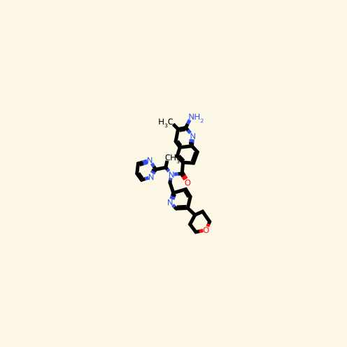 Cc1cc2cc(C(=O)N(Cc3ccc(C4CCOCC4)cn3)C(C)c3ncccn3)ccc2nc1N